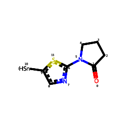 O=C1CCCN1c1nc[c]([SnH])s1